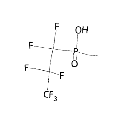 CP(=O)(O)C(F)(F)C(F)(F)C(F)(F)F